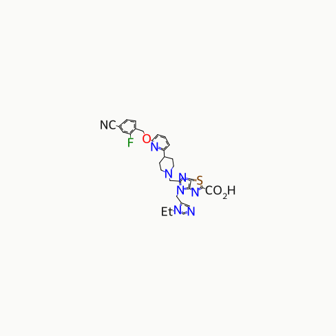 CCn1cncc1Cn1c(CN2CCC(c3cccc(OCc4ccc(C#N)cc4F)n3)CC2)nc2sc(C(=O)O)nc21